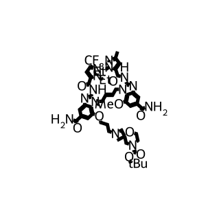 CCn1nc(C)cc1C(=O)Nc1nc2cc(C(N)=O)cc(OC)c2n1C/C=C/Cn1c(NC(=O)c2cc(C(F)(F)F)nn2CC)nc2cc(C(N)=O)cc(OCCCN3CC4(C3)CN(C(=O)OC(C)(C)C)CCO4)c21